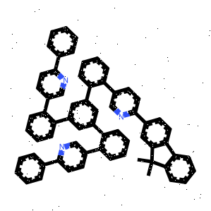 CC1(C)c2ccccc2-c2ccc(-c3ccc(-c4ccccc4-c4cc(-c5ccccc5-c5ccc(-c6ccccc6)nc5)cc(-c5ccccc5-c5ccc(-c6ccccc6)nc5)c4)cn3)cc21